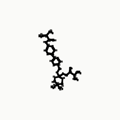 C=C(C)C(=O)OCC1(COc2ccc(-c3ccc(OC(=O)C(=C)C)cc3)cc2)COC(C)(C)OC1